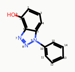 Oc1cccc2c1nnn2-c1ccccc1